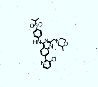 CC1CN(Cc2nc(Nc3ccc(S(=O)(=O)C(C)C)cc3)c3ccc(-c4ncccc4Cl)cc3n2)CCO1